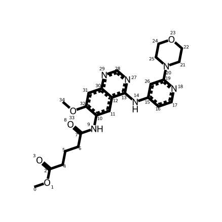 COC(=O)CCCC(=O)Nc1cc2c(Nc3ccnc(N4CCOCC4)c3)ncnc2cc1OC